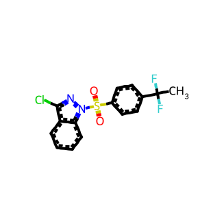 CC(F)(F)c1ccc(S(=O)(=O)n2nc(Cl)c3ccccc32)cc1